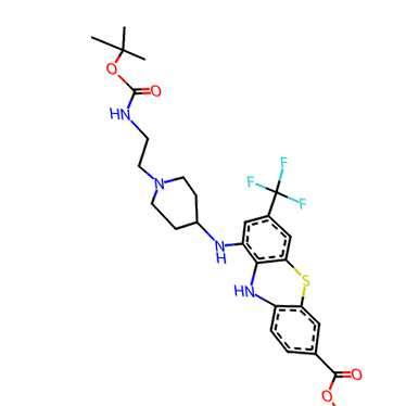 COC(=O)c1ccc2c(c1)Sc1cc(C(F)(F)F)cc(NC3CCN(CCNC(=O)OC(C)(C)C)CC3)c1N2